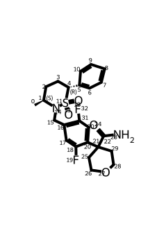 C[C@H]1CC[C@H](c2ccccc2)S(=O)(=O)N1Cc1cc(F)c(C2(C(N)=O)CCOCC2)cc1F